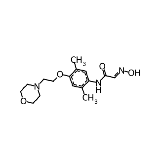 Cc1cc(OCCN2CCOCC2)c(C)cc1NC(=O)C=NO